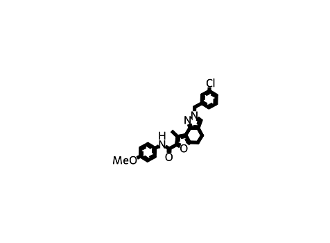 COc1ccc(NC(=O)c2oc3c(c2C)-c2nn(Cc4cccc(Cl)c4)cc2CC3)cc1